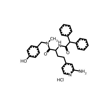 CN(Cc1ccc(O)cc1)C(=O)C(CCc1ccnc(N)c1)NC(=O)C(c1ccccc1)c1ccccc1.Cl